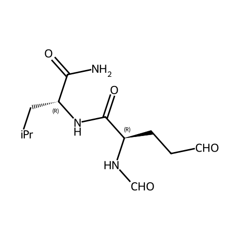 CC(C)C[C@@H](NC(=O)[C@@H](CCC=O)NC=O)C(N)=O